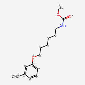 CC(C)(C)OC(=O)NCCCCCCOc1cccc(C=O)c1